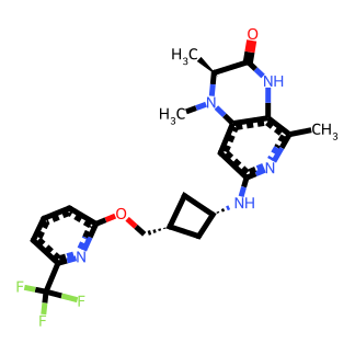 Cc1nc(N[C@H]2C[C@@H](COc3cccc(C(F)(F)F)n3)C2)cc2c1NC(=O)[C@H](C)N2C